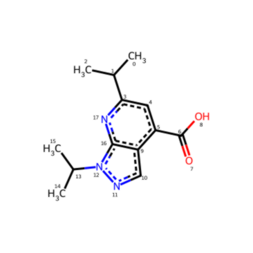 CC(C)c1cc(C(=O)O)c2cnn(C(C)C)c2n1